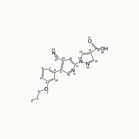 CCCOc1cccc(-c2cnc(-n3cc(C(=O)O)cn3)cc2C#N)c1